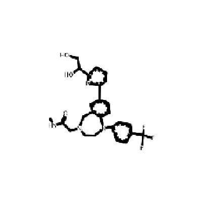 CNC(=O)CN1CCN(c2ccc(C(F)(F)F)cc2)c2ccc(-c3cccc(C(O)CO)n3)cc2C1